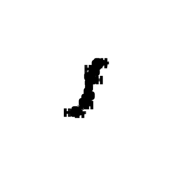 CC(C)P(=O)(O)OCCCCCNC(=O)CCSC1CC(=O)N(CCOCCOCCOCCN2C(=O)C(SCCC(=O)NCCOP(=O)(O)C(C)C)CC2O)C1=O